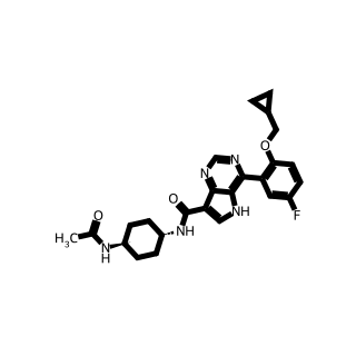 CC(=O)N[C@H]1CC[C@H](NC(=O)c2c[nH]c3c(-c4cc(F)ccc4OCC4CC4)ncnc23)CC1